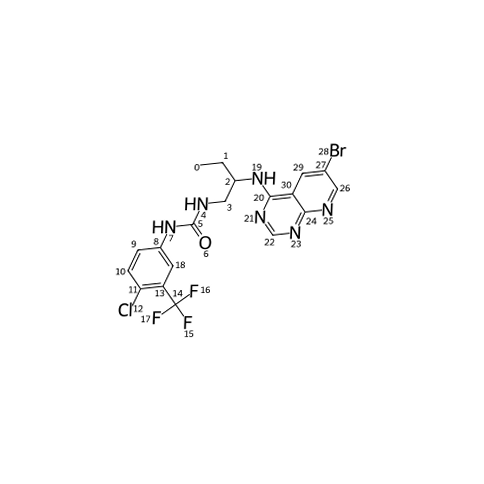 CCC(CNC(=O)Nc1ccc(Cl)c(C(F)(F)F)c1)Nc1ncnc2ncc(Br)cc12